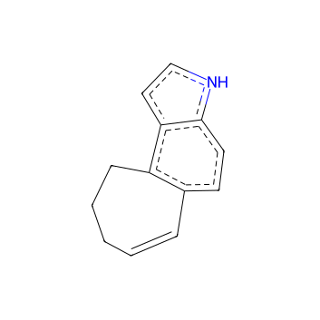 C1=Cc2ccc3[nH]ccc3c2CCC1